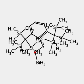 C[Si](C)(C)C(c1cccc(C([Si](C)(C)C)([Si](C)(C)C)[Si](C)(C)C)c1S[CH2][BiH2])([Si](C)(C)C)[Si](C)(C)C